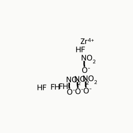 F.F.F.F.O=[N+]([O-])[O-].O=[N+]([O-])[O-].O=[N+]([O-])[O-].O=[N+]([O-])[O-].[Zr+4]